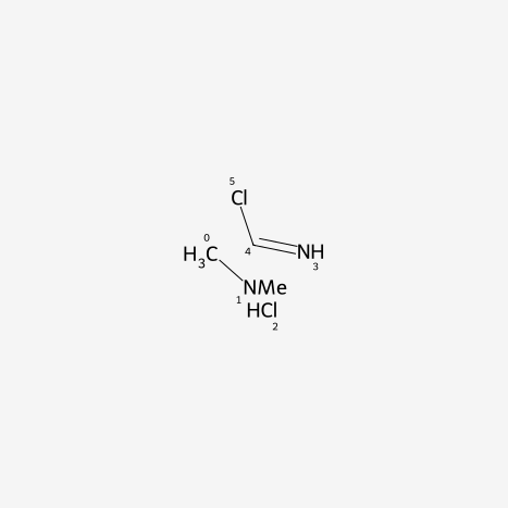 CNC.Cl.N=CCl